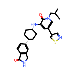 CC(C)Cn1cc(-c2cnsc2)cc(N[C@H]2CC[C@@H](c3ccc4c(c3)CNC4=O)CC2)c1=O